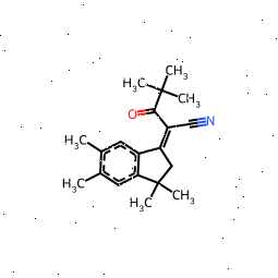 Cc1cc2c(cc1C)C(C)(C)CC2=C(C#N)C(=O)C(C)(C)C